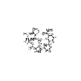 COC(=O)c1cnn(-c2cccc(-c3cccc(C(=O)O)c3)n2)c1C1CC1/C(N)=C/N(C)N